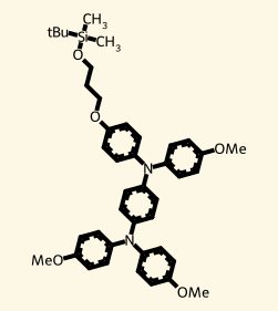 COc1ccc(N(c2ccc(OC)cc2)c2ccc(N(c3ccc(OC)cc3)c3ccc(OCCCO[Si](C)(C)C(C)(C)C)cc3)cc2)cc1